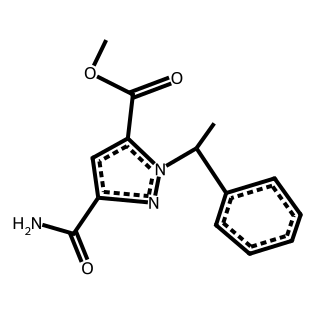 COC(=O)c1cc(C(N)=O)nn1C(C)c1ccccc1